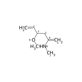 C=CC(CC(=C)NC)OC